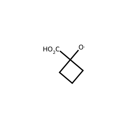 [O]C1(C(=O)O)CCC1